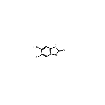 Nc1cc2[nH]c(=O)[nH]c2cc1Br